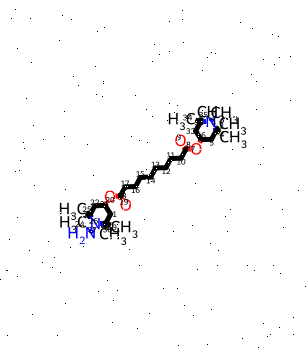 CN1C(C)(C)CC(OC(=O)CCCCCCCCC(=O)OC2CC(C)(C)N(N)C(C)(C)C2)CC1(C)C